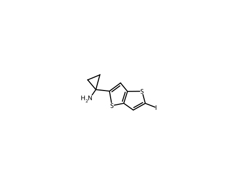 NC1(c2cc3sc(I)cc3s2)CC1